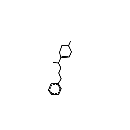 CC1CC=C(C(C)CCCc2ccccc2)CC1